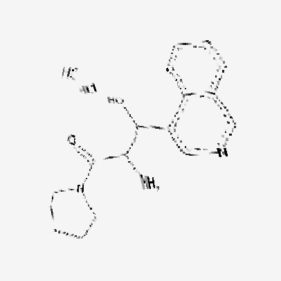 Cl.Cl.NC(C(=O)N1CCCC1)C(O)c1cncc2ccccc12